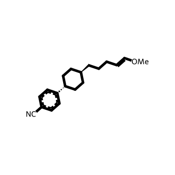 CO/C=C/CCC[C@H]1CC[C@H](c2ccc(C#N)cc2)CC1